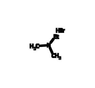 Br.[CH2]CN(C)C